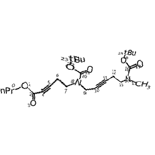 CCCOC(=O)C#CCCN(CC#CCCN(C)C(=O)OC(C)(C)C)C(=O)OC(C)(C)C